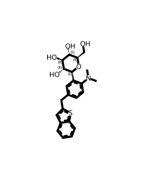 CN(C)c1ccc(Cc2cc3ccccc3s2)cc1[C@@H]1O[C@H](CO)[C@@H](O)[C@H](O)[C@H]1O